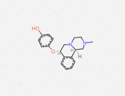 CN1CCN2C[C@@H](Oc3ccc(O)cc3)c3ccccc3[C@@H]2C1